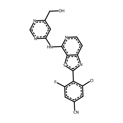 N#Cc1cc(F)c(-c2nc3ccnc(Nc4cc(CO)ncn4)c3s2)c(Cl)c1